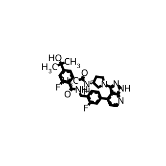 CC(=O)N[C@@H]1CCN(c2n[nH]c3nccc(-c4ccc(CNC(=O)c5ccc(C(C)(C)O)cc5F)c(F)c4)c23)C1